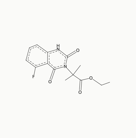 CCOC(=O)C(C)(C)n1c(=O)[nH]c2cccc(F)c2c1=O